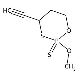 C#CC1CCOP(=S)(OC)S1